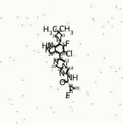 CC1(C)CN(c2c(F)c(Cl)c(-c3cn4cc(NC(=O)[C@@H]5C[C@@H]5F)nc4cn3)c3cn[nH]c23)C1